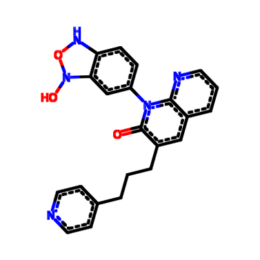 O=c1c(CCCc2ccncc2)cc2cccnc2n1-c1ccc2c(c1)N(O)ON2